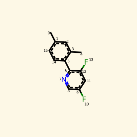 Cc1[c]c(C)c(-c2ncc(F)cc2F)cc1